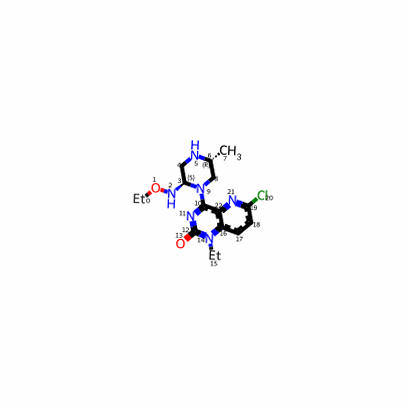 CCON[C@H]1CN[C@H](C)CN1c1nc(=O)n(CC)c2ccc(Cl)nc12